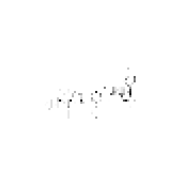 COc1ccc(-n2nc(C(C)(C)C)cc2NC(=O)Nc2ccc(Oc3ccnc(NC(=O)N4CCCC4)c3)c(C#N)c2Cl)cc1